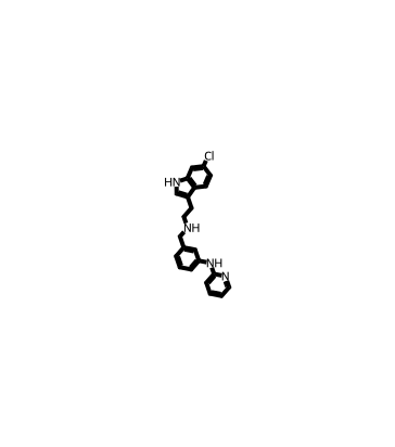 Clc1ccc2c(CCNCc3cccc(Nc4ccccn4)c3)c[nH]c2c1